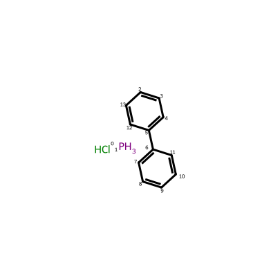 Cl.P.c1ccc(-c2ccccc2)cc1